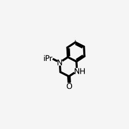 CC(C)N1CC(=O)Nc2cc[c]cc21